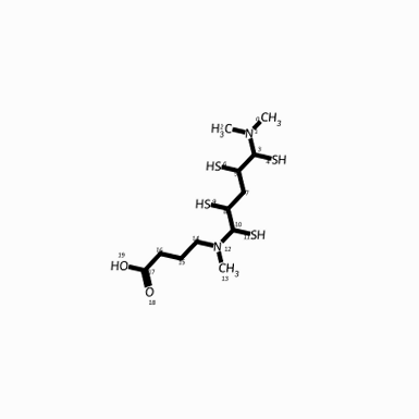 CN(C)C(S)C(S)CC(S)C(S)N(C)CCCC(=O)O